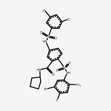 Cc1cc(F)c(Br)cc1NS(=O)(=O)c1ccc(NS(=O)(=O)c2cc(Cl)cc(Cl)c2)cc1C(=O)NC1CCCC1